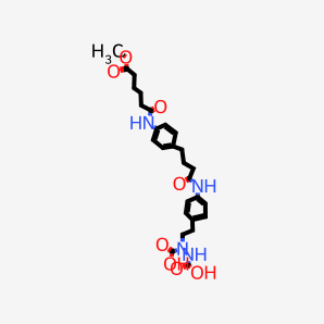 COC(=O)CCCCC(=O)Nc1ccc(CCCC(=O)Nc2ccc(CCN(NC(=O)O)C(=O)O)cc2)cc1